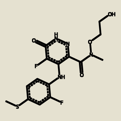 CSc1ccc(Nc2c(C(=O)N(C)OCCO)n[nH]c(=O)c2F)c(F)c1